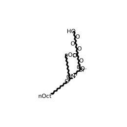 CCCCCCCCC=CCCCCCCCCOCC(C[N+](C)(C)CCCCC(=O)OCCC(=O)CCC(=O)CCC(=O)CCC(=O)CCC(=O)CCO)OCCCCCCCCC=CCCCCCCCC.[Br-]